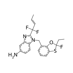 C/C=C/C(F)(F)c1nc2cc(N)ccc2n1Cc1cccc2c1OC(F)(CC)S2